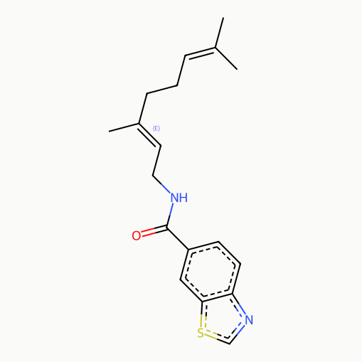 CC(C)=CCC/C(C)=C/CNC(=O)c1ccc2ncsc2c1